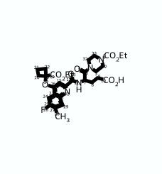 CCOC(=O)N1CCN(C(=O)C(CCC(=O)O)NC(=O)c2cc(OC3(C(=O)OCC)CCC3)c3cc(F)c(C)cc3n2)CC1